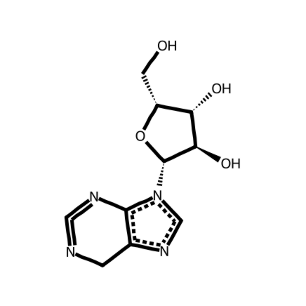 OC[C@H]1O[C@@H](n2cnc3c2N=C=NC3)[C@H](O)[C@H]1O